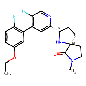 CCOc1ccc(F)c(-c2cc([C@@H]3CC[C@@]4(CCN(C)C4=O)N3)ncc2F)c1